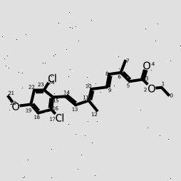 CCOC(=O)C=C(C)C=CC=C(C)C=Cc1c(Cl)cc(OC)cc1Cl